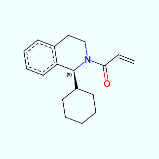 C=CC(=O)N1CCc2ccccc2[C@@H]1C1CCCCC1